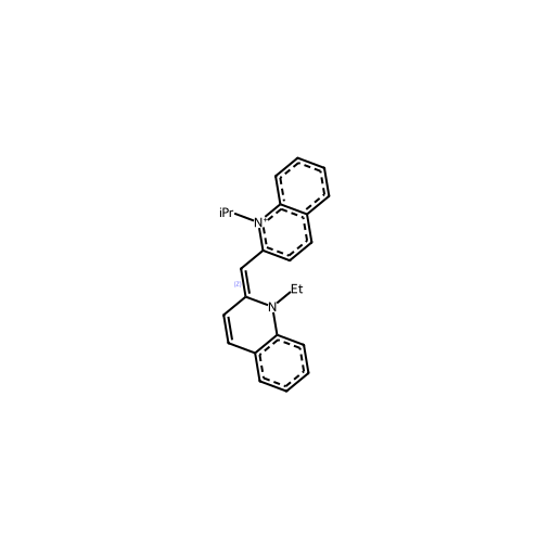 CCN1/C(=C\c2ccc3ccccc3[n+]2C(C)C)C=Cc2ccccc21